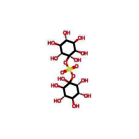 O=S(=O)(O[C@]1(O)[C@H](O)[C@H](O)[C@@H](O)[C@H](O)[C@H]1O)O[C@]1(O)[C@H](O)[C@H](O)[C@@H](O)[C@H](O)[C@H]1O